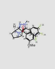 COc1cccc(C(=O)N2C3CC[C@H]2c2nn(C)c(-c4cc(F)c(F)c(F)c4)c2C3)c1